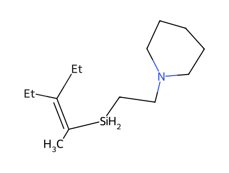 CCC(CC)=C(C)[SiH2]CCN1CCCCC1